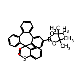 CC1(C)OB(c2ccc3c(c2)-c2ccccc2-c2ccccc2C32c3ccccc3Sc3ccccc32)OC1(C)C